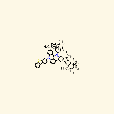 CC(C)(C)c1ccc(N2B3c4cc(C(C)(C)C)ccc4-n4c5cc6sc7ccccc7c6cc5c5ccc(c3c54)-c3cc4c(cc32)C(C)(C)c2cc3c(cc2-4)C(C)(C)CCC3(C)C)cc1